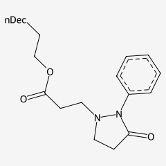 CCCCCCCCCCCCOC(=O)CCN1CCC(=O)N1c1ccccc1